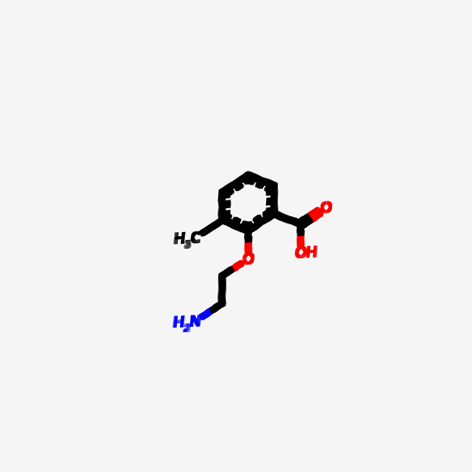 Cc1cccc(C(=O)O)c1OCCN